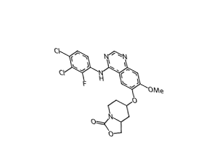 COc1cc2ncnc(Nc3ccc(Cl)c(Cl)c3F)c2cc1OC1CCN2C(=O)OCC2C1